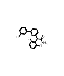 NC(=O)C(c1cccc(-c2cccc(Cl)c2)n1)c1c(Cl)cccc1Cl